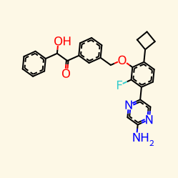 Nc1cnc(-c2ccc(C3CCC3)c(OCc3cccc(C(=O)C(O)c4ccccc4)c3)c2F)cn1